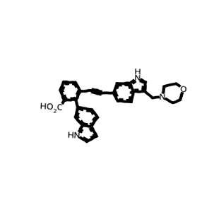 O=C(O)c1cccc(C#Cc2ccc3c(CN4CCOCC4)c[nH]c3c2)c1-c1ccc2cc[nH]c2c1